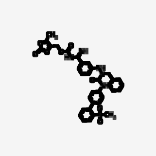 Cc1oc(=O)oc1COC(=O)NC(=N)c1cccc(NN(Cc2ccccc2)C(=O)Nc2ccc(-c3ccccc3S(C)(=O)=O)cc2)c1